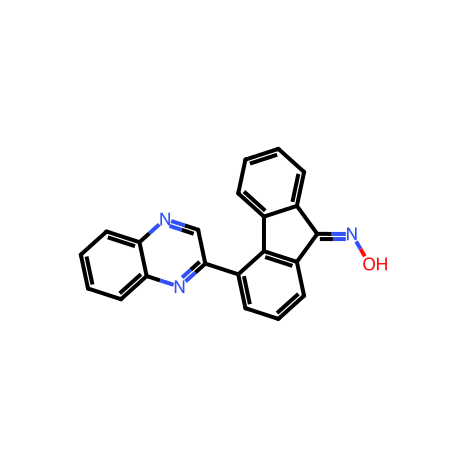 ON=C1c2ccccc2-c2c1cccc2-c1cnc2ccccc2n1